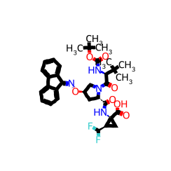 CC(C)(C)OC(=O)N[C@H](C(=O)N1C[C@H](ON=C2c3ccccc3-c3ccccc32)C[C@H]1C(=O)N[C@]1(C(=O)O)C[C@H]1C(F)F)C(C)(C)C